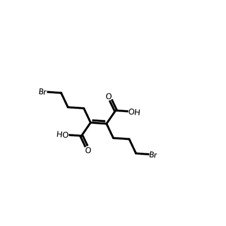 O=C(O)/C(CCCBr)=C(\CCCBr)C(=O)O